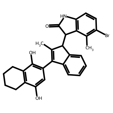 CC1=C(c2cc(O)c3c(c2O)CCCC3)c2ccccc2C1C1C(=O)Nc2ccc(Br)c(C)c21